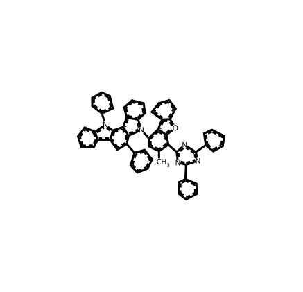 Cc1cc(-n2c3ccccc3c3c2c(-c2ccccc2)cc2c4ccccc4n(-c4ccccc4)c23)c2c(oc3ccccc32)c1-c1nc(-c2ccccc2)nc(-c2ccccc2)n1